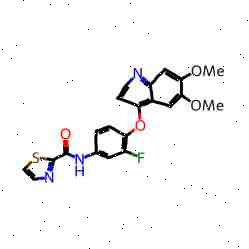 COc1cc2nccc(Oc3ccc(NC(=O)c4nccs4)cc3F)c2cc1OC